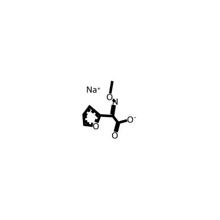 CO/N=C(/C(=O)[O-])c1ccco1.[Na+]